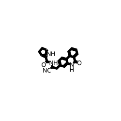 N#CC(Cc1ccc2c(c1)[nH]c(=O)c1ccccc12)NC(=O)C1NC2CCC1C2